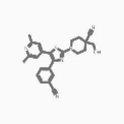 Cc1cc(-c2sc(N3CCC(C#N)(CO)CC3)nc2-c2cccc(C#N)c2)cc(C)n1